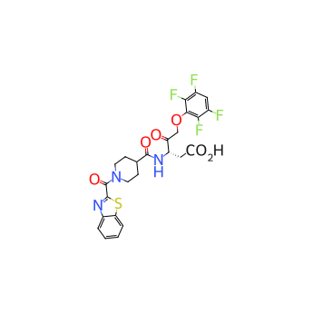 O=C(O)C[C@H](NC(=O)C1CCN(C(=O)c2nc3ccccc3s2)CC1)C(=O)COc1c(F)c(F)cc(F)c1F